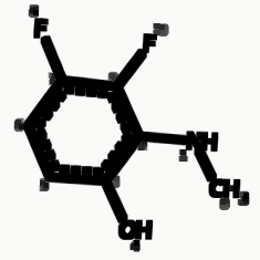 CNc1c(O)ccc(F)c1F